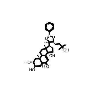 CC(C)(O)CC[C@H]1OB(c2ccccc2)O[C@]1(C)[C@H]1CC[C@@]2(O)C3=CC(=O)[C@@H]4C[C@@H](O)[C@@H](O)C[C@]4(C)C3CC[C@]12C